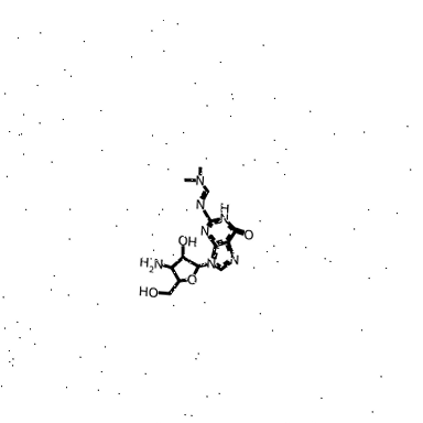 CN(C)/C=N/c1nc2c(ncn2C2OC(CO)C(N)C2O)c(=O)[nH]1